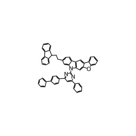 c1ccc(-c2ccc(-c3cc(-c4ccccc4)nc(-n4c5cc(CCC6c7ccccc7-c7ccccc76)ccc5c5cc6c(cc54)oc4ccccc46)n3)cc2)cc1